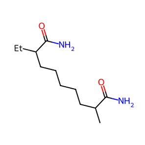 CCC(CCCCCC(C)C(N)=O)C(N)=O